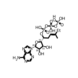 CCC(C)=CCC(OP(=O)(O)OP(=O)(O)OP(=O)(O)O)[C@H]1O[C@@H](n2cnc3c(N)ncnc32)[C@H](O)[C@@H]1O